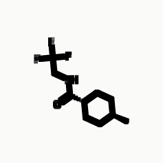 C[C@H]1CC[C@H](C(=O)NCC(F)(F)F)CC1